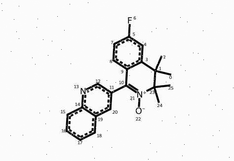 CC1(C)c2cc(F)ccc2C(c2cnc3ccccc3c2)=[N+]([O-])C1(C)C